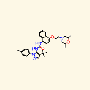 Cc1ccc(-n2ncc(C(C)(C)C)c2NC(=O)Nc2ccc(OCCN3CC(C)OC(C)C3)c3ccccc23)cc1